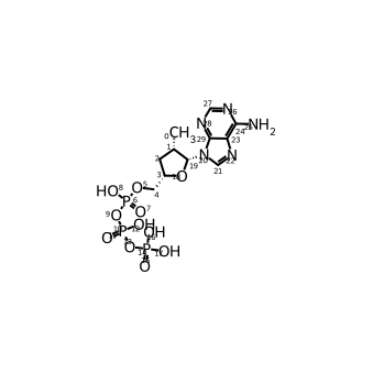 C[C@H]1C[C@@H](COP(=O)(O)OP(=O)(O)OP(=O)(O)O)O[C@H]1n1cnc2c(N)ncnc21